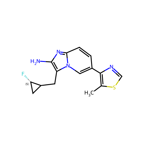 Cc1scnc1-c1ccc2nc(N)c(CC3C[C@@H]3F)n2c1